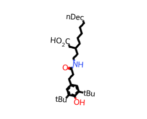 CCCCCCCCCCCCCCCC(CCNC(=O)CCc1cc(C(C)(C)C)c(O)c(C(C)(C)C)c1)CC(=O)O